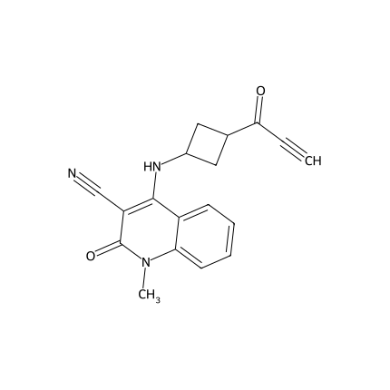 C#CC(=O)C1CC(Nc2c(C#N)c(=O)n(C)c3ccccc23)C1